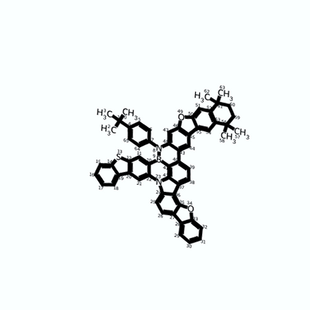 CC(C)(C)c1ccc(N2B3c4cc5sc6ccccc6c5cc4-n4c5ccc6c7ccccc7oc6c5c5ccc(c3c54)-c3cc4c(cc32)oc2cc3c(cc24)C(C)(C)CCC3(C)C)cc1